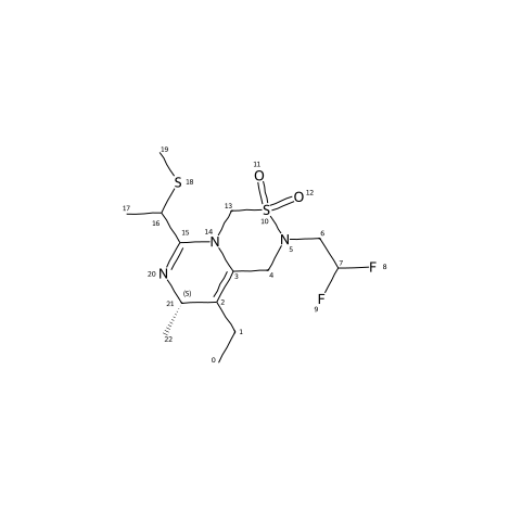 CCC1=C2CN(CC(F)F)S(=O)(=O)CN2C(C(C)SC)=N[C@H]1C